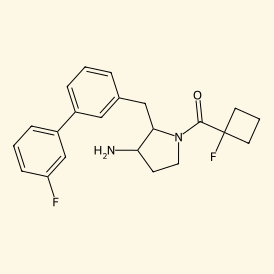 NC1CCN(C(=O)C2(F)CCC2)C1Cc1cccc(-c2cccc(F)c2)c1